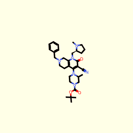 CC1CN(C(=O)OC(C)(C)C)CCN1c1c2c(n(C[C@@H]3CCCN3C)c(=O)c1C#N)CN(Cc1ccccc1)CC2